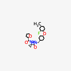 Cc1ccc(Oc2ccc(CNC(=O)C3(NC(=O)c4ccco4)CC3)cc2)c(F)c1